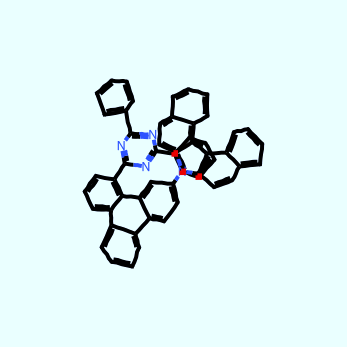 c1ccc(-c2nc(-c3ccccc3)nc(-c3cccc4c5ccccc5c5ccc(-n6c7ccc8ccccc8c7c7c8ccccc8ccc76)cc5c34)n2)cc1